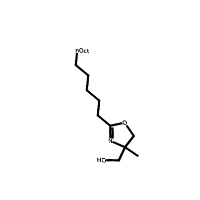 CCCCCCCCCCCCCC1=NC(C)(CO)CO1